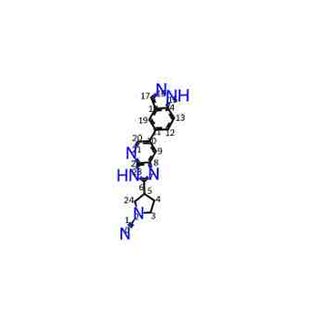 N#CN1CCC(c2nc3cc(-c4ccc5[nH]ncc5c4)cnc3[nH]2)C1